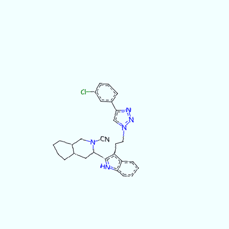 N#CN1CC2CCCCC2CC1c1[nH]c2ccccc2c1CCn1cc(-c2cccc(Cl)c2)nn1